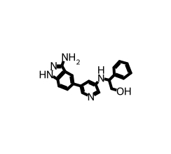 Nc1n[nH]c2ccc(-c3cncc(NC(CO)c4ccccc4)c3)cc12